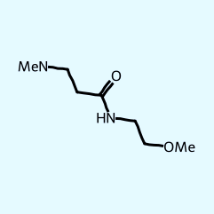 CNCCC(=O)NCCOC